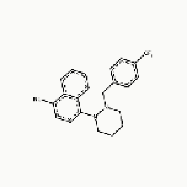 N#Cc1ccc(N2CCCCN2Cc2ccc(C(F)(F)F)cc2)c2ccccc12